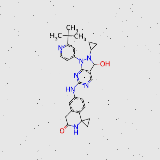 CC(C)(C)c1cc(N2c3nc(Nc4ccc5c(c4)CC(=O)NC54CC4)ncc3C(O)N2C2CC2)ccn1